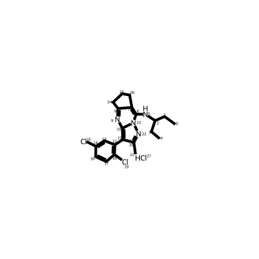 CCC(CC)Nc1c2c(nc3c(-c4cc(Cl)ccc4Cl)c(C)nn13)CCC2.Cl